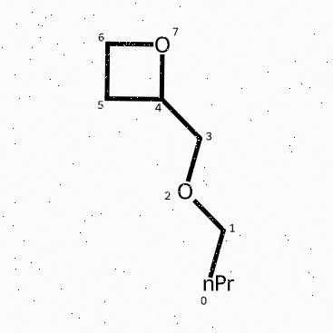 CCCCOCC1CCO1